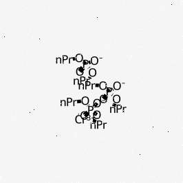 CCCOP(=O)([O-])OCCC.CCCOP(=O)([O-])OCCC.CCCOP(=O)([O-])OCCC.[Cr+3]